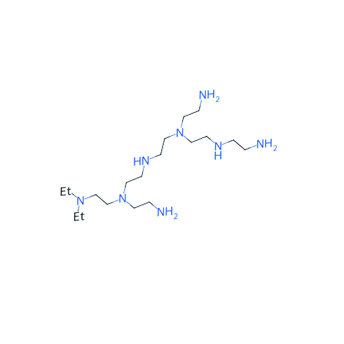 CCN(CC)CCN(CCN)CCNCCN(CCN)CCNCCN